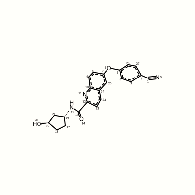 N#Cc1ccc(Oc2ccc3nc(C(=O)N[C@@H]4CC[C@@H](O)C4)ccc3c2)cc1